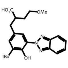 COCCC(Cc1cc(-n2nc3ccccc3n2)c(O)c(C(C)(C)C)c1)C(=O)O